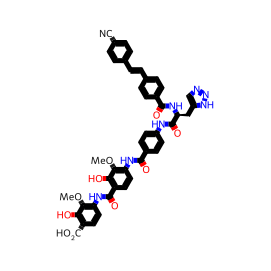 COc1c(NC(=O)c2ccc(NC(=O)c3ccc(NC(=O)[C@H](Cc4cnn[nH]4)NC(=O)c4ccc(/C=C/c5ccc(C#N)cc5)cc4)cc3)c(OC)c2O)ccc(C(=O)O)c1O